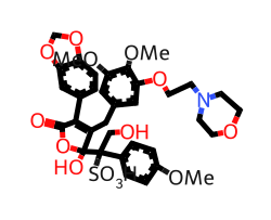 COc1ccc(C(CO)(C2(O)OC(=O)C(c3ccc4c(c3)OCO4)=C2Cc2cc(OC)c(OC)c(OCCN3CCOCC3)c2)S(=O)(=O)O)cc1